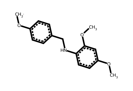 [CH2]Oc1ccc(CNc2ccc(OC)cc2OC)cc1